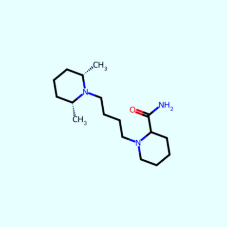 C[C@@H]1CCC[C@H](C)N1CCCCN1CCCCC1C(N)=O